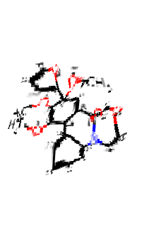 COC1=C(OC)C(OC)(c2ccco2)C=C(C=O)C1c1ccccc1N1CCOCC1